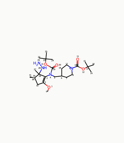 COC1=C(N(CC2CCN(C(=O)OC(C)(C)C)CC2)C(=O)OC(C)(C)C)C(C)(NN)[C@H](C)C1